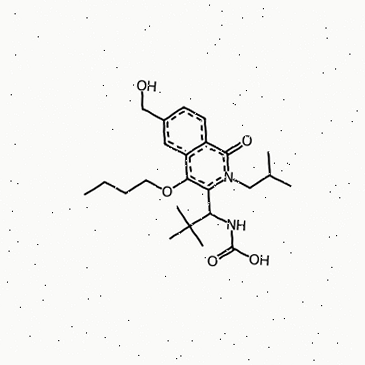 CCCCOc1c(C(NC(=O)O)C(C)(C)C)n(CC(C)C)c(=O)c2ccc(CO)cc12